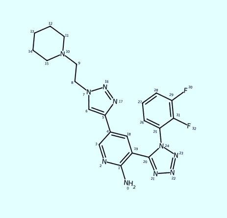 Nc1ncc(-c2cn(CCN3CCCCC3)nn2)cc1-c1nnnn1-c1cccc(F)c1F